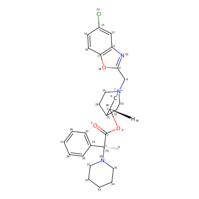 C[C@@](C(=O)O[C@H]1C[N+]2(Cc3nc4cc(Cl)ccc4o3)CCC1CC2)(c1ccccc1)N1CCCCC1